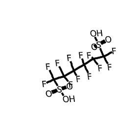 O=S(=O)(O)C(F)(F)C(F)(F)C(F)(F)C(F)(F)C(F)(F)C(F)(F)S(=O)(=O)O